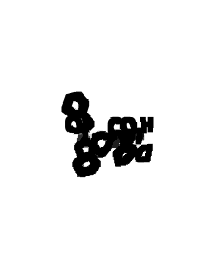 O=C(O)C1(Nc2cccc(Cl)c2)CCC2(CC1)c1ccccc1C[C@H]2c1cc2ccccc2o1